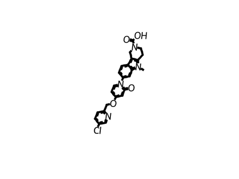 Cn1c2c(c3ccc(-n4ccc(OCc5ccc(Cl)cn5)cc4=O)cc31)CN(C(=O)O)CC2